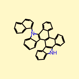 c1ccc2c(-n3c4ccccc4c4c5c(c6ccccc6c6[nH]c7ccccc7c65)c5ccccc5c43)cccc2c1